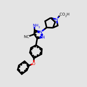 N#Cc1c(-c2ccc(Oc3ccccc3)cc2)nn(C2CC3CC2CN3C(=O)O)c1N